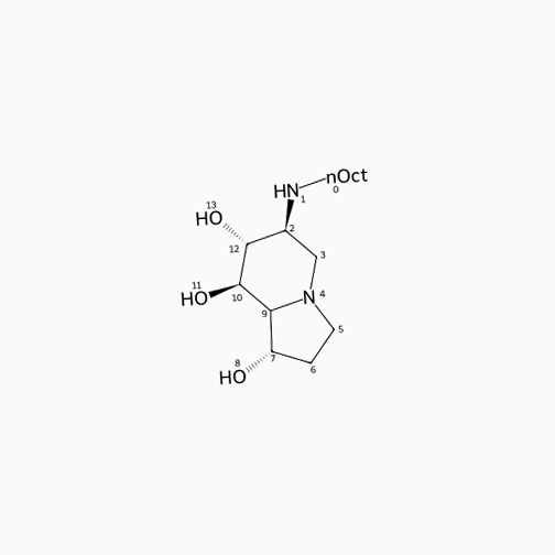 CCCCCCCCN[C@H]1CN2CC[C@H](O)C2[C@@H](O)[C@@H]1O